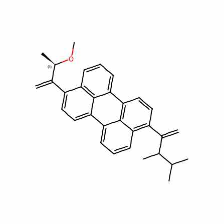 C=C(c1ccc2c3cccc4c(C(=C)[C@@H](C)OC)ccc(c5cccc1c25)c43)C(C)C(C)C